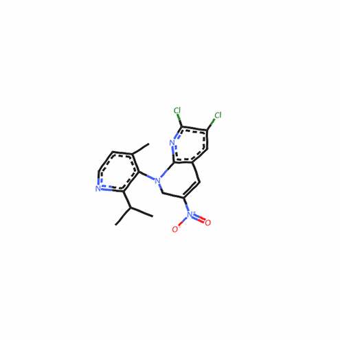 Cc1ccnc(C(C)C)c1N1CC([N+](=O)[O-])=Cc2cc(Cl)c(Cl)nc21